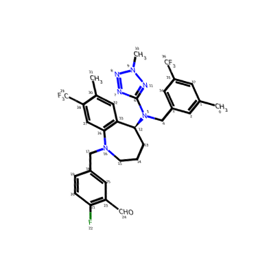 Cc1cc(CN(c2nnn(C)n2)[C@H]2CCCN(Cc3ccc(F)c(C=O)c3)c3cc(C(F)(F)F)c(C)cc32)cc(C(F)(F)F)c1